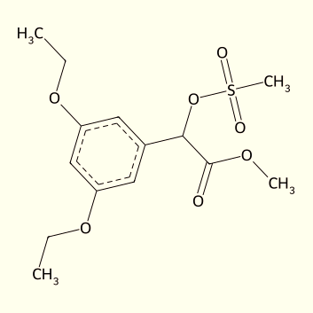 CCOc1cc(OCC)cc(C(OS(C)(=O)=O)C(=O)OC)c1